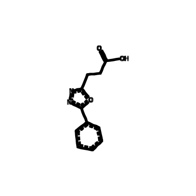 O=C(O)CCc1nnc(-c2ccccc2)o1